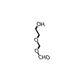 O=COCOCCO